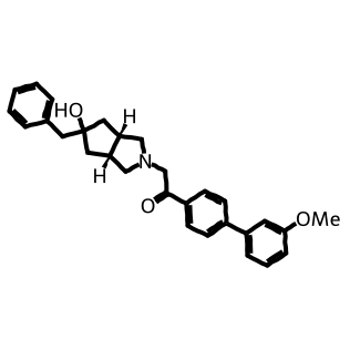 COc1cccc(-c2ccc(C(=O)CN3C[C@@H]4CC(O)(Cc5ccccc5)C[C@@H]4C3)cc2)c1